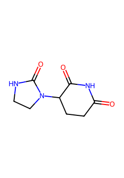 O=C1CCC(N2CCNC2=O)C(=O)N1